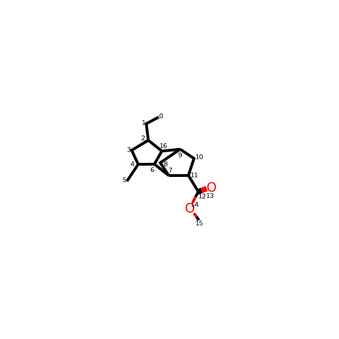 CCC1CC(C)C2C3CC(CC3C(=O)OC)C12